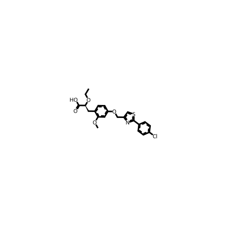 CCO[C@@H](Cc1ccc(OCc2csc(-c3ccc(Cl)cc3)n2)cc1OC)C(=O)O